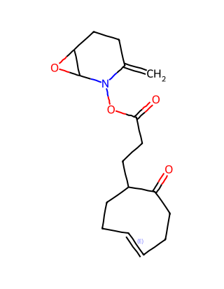 C=C1CCC2OC2N1OC(=O)CCC1CC/C=C/CCC1=O